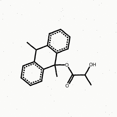 CC(O)C(=O)OC1(C)c2ccccc2C(C)c2ccccc21